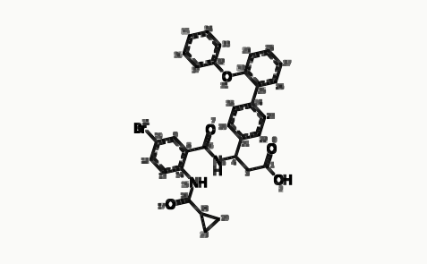 O=C(O)CC(NC(=O)c1cc(Br)ccc1NC(=O)C1CC1)c1ccc(-c2ccccc2Oc2ccccc2)cc1